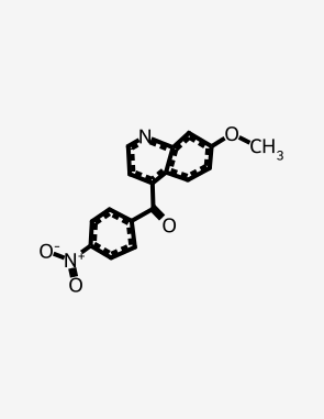 COc1ccc2c(C(=O)c3ccc([N+](=O)[O-])cc3)ccnc2c1